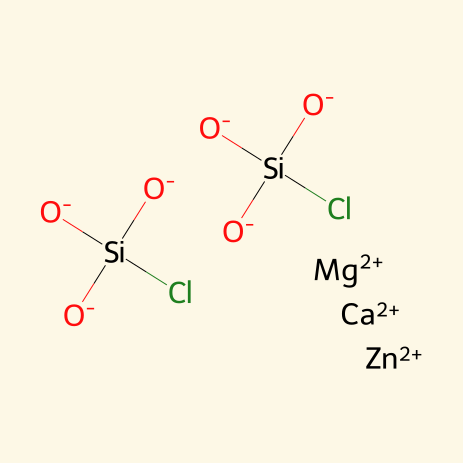 [Ca+2].[Mg+2].[O-][Si]([O-])([O-])Cl.[O-][Si]([O-])([O-])Cl.[Zn+2]